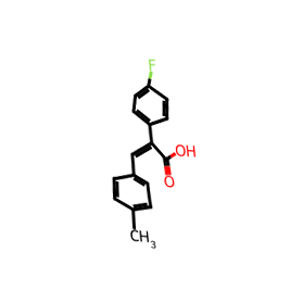 Cc1ccc(C=C(C(=O)O)c2ccc(F)cc2)cc1